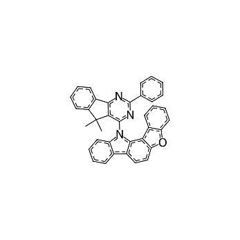 CC1(C)c2ccccc2-c2nc(-c3ccccc3)nc(-n3c4ccccc4c4ccc5oc6ccccc6c5c43)c21